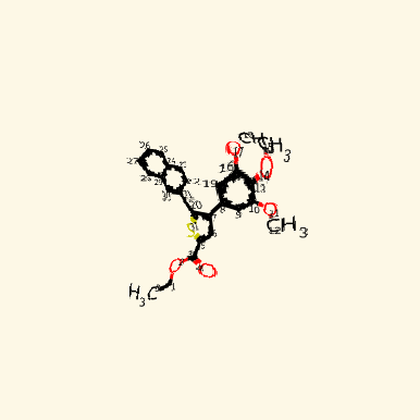 CCOC(=O)c1cc(-c2cc(OC)c(OC)c(OC)c2)c(-c2ccc3ccccc3c2)s1